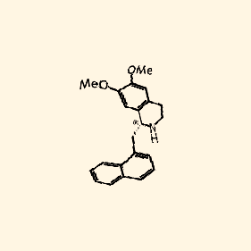 COc1cc2c(cc1OC)[C@@H](Cc1cccc3ccccc13)NCC2